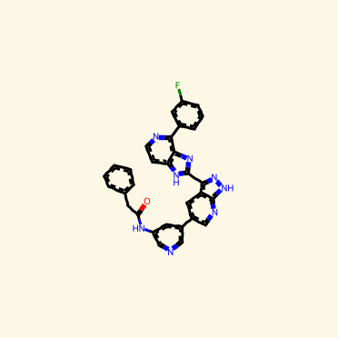 O=C(Cc1ccccc1)Nc1cncc(-c2cnc3[nH]nc(-c4nc5c(-c6cccc(F)c6)nccc5[nH]4)c3c2)c1